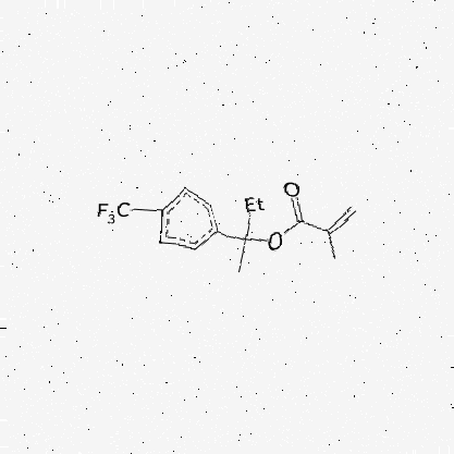 C=C(C)C(=O)OC(C)(CC)c1ccc(C(F)(F)F)cc1